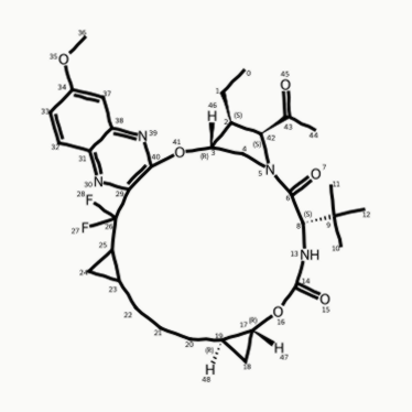 CC[C@@H]1[C@@H]2CN(C(=O)[C@H](C(C)(C)C)NC(=O)O[C@@H]3C[C@H]3CCCC3CC3C(F)(F)c3nc4ccc(OC)cc4nc3O2)[C@@H]1C(C)=O